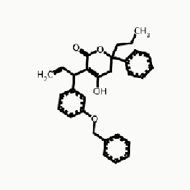 C=CC(C1=C(O)CC(CCC)(c2ccccc2)OC1=O)c1cccc(OCc2ccccc2)c1